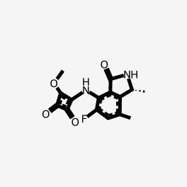 COc1c(Nc2c(F)cc(C)c3c2C(=O)N[C@@H]3C)c(=O)c1=O